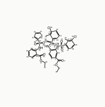 CCOC(=O)c1ccc(NS(=O)(=O)c2cccc(Cl)c2C)c(NS(=O)(=O)c2cccc(Cl)c2C)c1.CCOC(=O)c1ccccc1NS(=O)(=O)c1cccs1